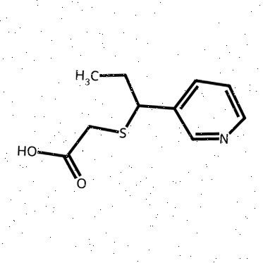 CCC(SCC(=O)O)c1cccnc1